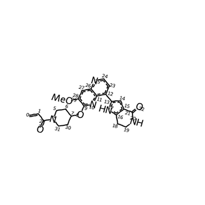 C=CC(=O)N1CCC(Oc2nc3c(-c4cc5c([nH]4)CCNC5=O)ccnc3cc2OC)CC1